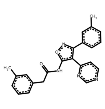 Cc1cccc(CC(=O)Nc2onc(-c3cccc(C)c3)c2-c2ccncn2)c1